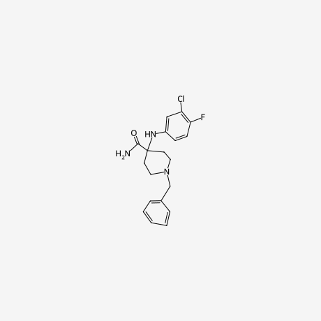 NC(=O)C1(Nc2ccc(F)c(Cl)c2)CCN(Cc2ccccc2)CC1